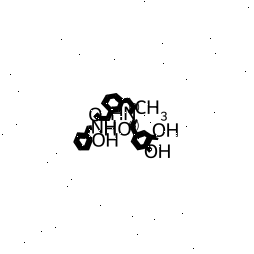 C[C@H](Cc1cccc(CC(=O)NCc2ccccc2O)c1)NC[C@@H](O)c1ccc(O)c(CO)c1